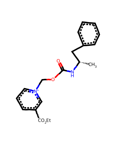 CCOC(=O)c1ccc[n+](COC(=O)N[C@@H](C)Cc2ccccc2)c1